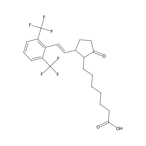 O=C(O)CCCCCCC1C(=O)CCC1/C=C/c1c(C(F)(F)F)cccc1C(F)(F)F